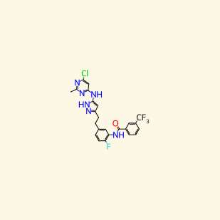 Cc1nc(Cl)cc(Nc2cc(CCc3ccc(F)c(NC(=O)c4cccc(C(F)(F)F)c4)c3)n[nH]2)n1